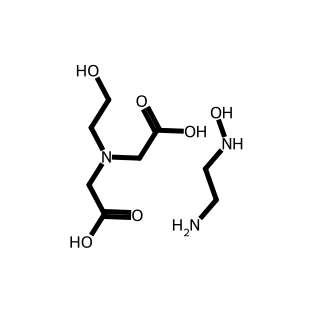 NCCNO.O=C(O)CN(CCO)CC(=O)O